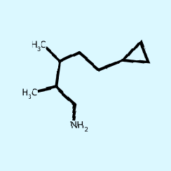 CC(CN)C(C)CCC1CC1